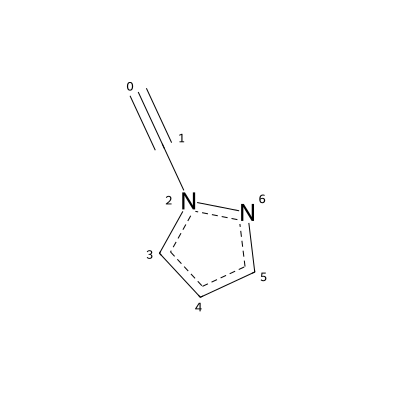 C#Cn1cccn1